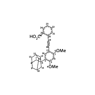 COc1cc(OC)c(C23CC4CC(CC(C4)C2)C3)cc1C#Cc1ccccc1C(=O)O